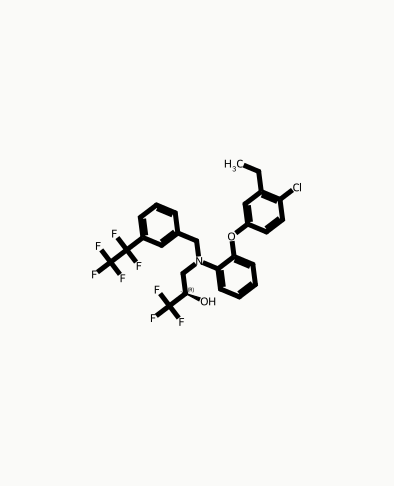 CCc1cc(Oc2ccccc2N(Cc2cccc(C(F)(F)C(F)(F)F)c2)C[C@@H](O)C(F)(F)F)ccc1Cl